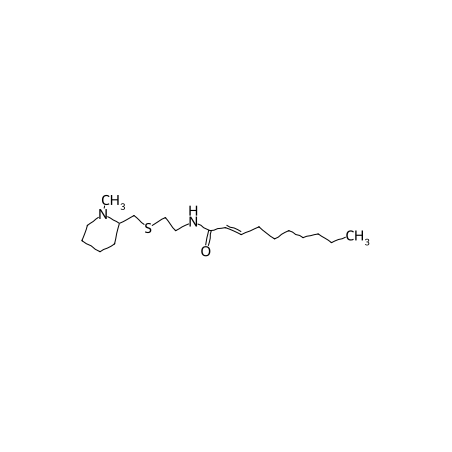 CCCCCCCC=CC(=O)NCCSCC1CCCCN1C